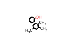 Cc1ccc(C)c(C)c1.Oc1ccccc1